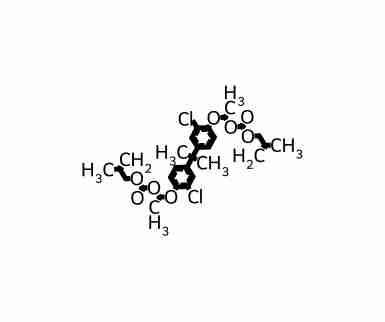 C=C(C)COC(=O)OC(C)Oc1ccc(C(C)(C)c2ccc(OC(C)OC(=O)OCC(=C)C)c(Cl)c2)cc1Cl